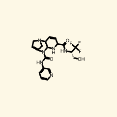 O=C(N[C@@H](CO)C(F)(F)F)C1C=CC2C(N1)N(C(=O)Nc1cccnc1)C1=CCN2C1